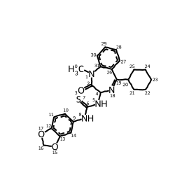 CN1C(=O)C(NC(=S)Nc2ccc3c(c2)OCO3)N=C(C2CCCCC2)c2ccccc21